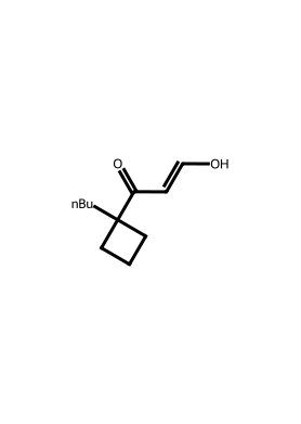 CCCCC1(C(=O)C=CO)CCC1